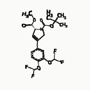 COC(=O)[C@H]1C=C(c2ccc(OC(F)F)c(OC(F)F)c2)CN1C(=O)OC(C)(C)C